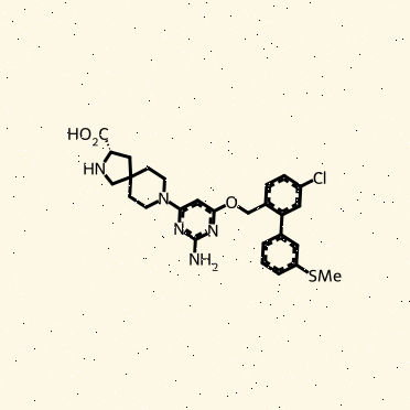 CSc1cccc(-c2cc(Cl)ccc2COc2cc(N3CCC4(CC3)CN[C@H](C(=O)O)C4)nc(N)n2)c1